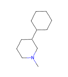 CN1CCCC(C2CCCCC2)C1